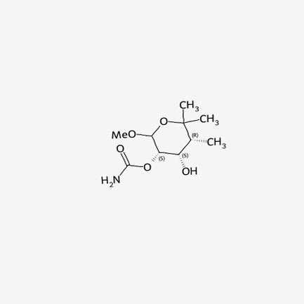 COC1OC(C)(C)[C@H](C)[C@H](O)[C@@H]1OC(N)=O